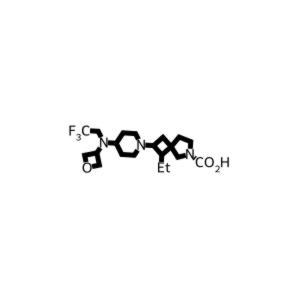 CCC1C(N2CCC(N(CC(F)(F)F)C3COC3)CC2)CC12CCN(C(=O)O)C2